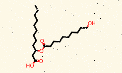 CCCCCCCCCC(CC(=O)O)OC(=O)CCCCCCCCCO